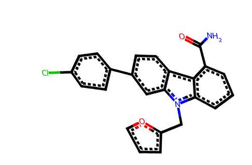 NC(=O)c1cccc2c1c1[c]cc(-c3ccc(Cl)cc3)cc1n2Cc1ccco1